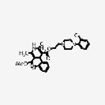 COC(=O)C1=C(C)NC(C)=C(C(=O)OCCN2CCN(c3ccccc3Cl)CC2)C1c1ccccc1Cl